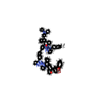 NC1C=CC=C/C1=C(/N=C/n1c2ccccc2c2c3c4ccccc4c(-c4ccc5oc6ccccc6c5c4)cc3c3ccccc3c21)c1ccc2cc(-c3ccc4c5c6c7ccccc7c(-c7ccc8c(c7)c7ccccc7n8-c7ccccc7)cc6c6ccccc6c5n(-c5nc(-c6ccc7ccccc7c6)c6ccccc6n5)c4c3)ccc2c1